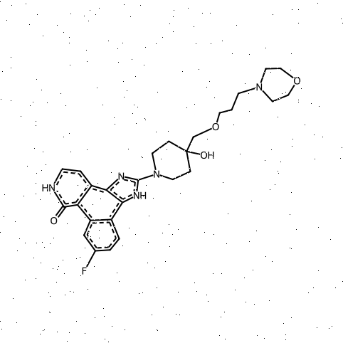 O=c1[nH]ccc2c3nc(N4CCC(O)(COCCCN5CCOCC5)CC4)[nH]c3c3ccc(F)cc3c12